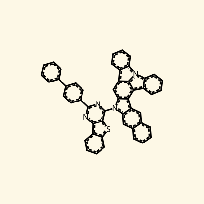 c1ccc(-c2ccc(-c3nc(-n4c5cc6ccccc6cc5c5c6c7ccccc7n7c8ccccc8c(cc54)c67)c4sc5ccccc5c4n3)cc2)cc1